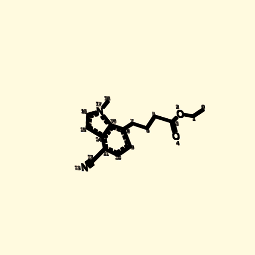 CCOC(=O)CCCc1ccc(C#N)c2ccn(C)c12